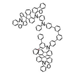 c1ccc(-c2cc(-c3ccccc3)cc(N(c3ccc(-c4cccc(-c5cccc(-c6ccc(N(c7ccccc7)c7cccc(N(c8cccc9c8-c8ccccc8C98c9ccccc9N9c%10ccccc%10Oc%10cccc8c%109)c8cccc9c8oc8ccccc89)c7)cc6)c5)c4)cc3)c3cccc4c3-c3ccccc3C43c4ccccc4N4c5ccccc5Oc5cccc3c54)c2)cc1